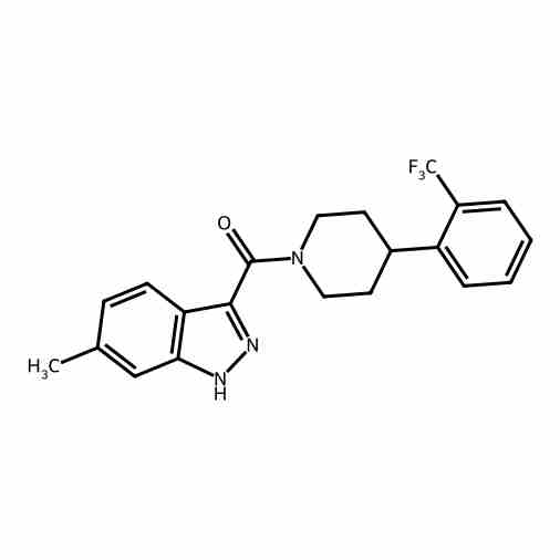 Cc1ccc2c(C(=O)N3CCC(c4ccccc4C(F)(F)F)CC3)n[nH]c2c1